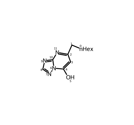 CCCCCCCc1cc(O)n2ncnc2n1